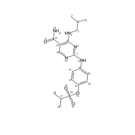 CC(C)CNc1nc(Nc2ccc(OS(=O)(=O)C(C)C)cc2)ncc1C(N)=O